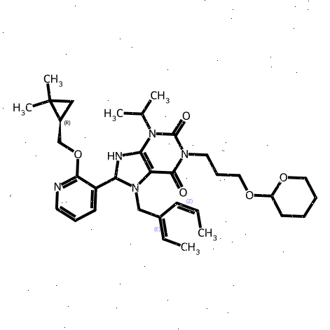 C/C=C\C(=C/C)CN1c2c(n(C(C)C)c(=O)n(CCCOC3CCCCO3)c2=O)NC1c1cccnc1OC[C@@H]1CC1(C)C